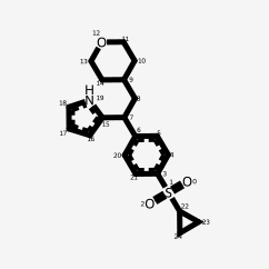 O=S(=O)(c1ccc(C(CC2CCOCC2)c2ccc[nH]2)cc1)C1CC1